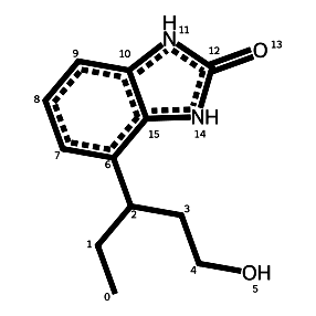 CCC(CCO)c1cccc2[nH]c(=O)[nH]c12